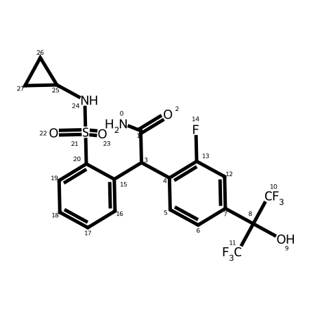 NC(=O)C(c1ccc(C(O)(C(F)(F)F)C(F)(F)F)cc1F)c1ccccc1S(=O)(=O)NC1CC1